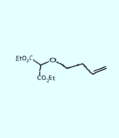 C=CCCOC(C(=O)OCC)C(=O)OCC